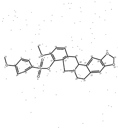 COc1ccc(S(=O)(=O)Oc2c(OC)ccc3c2CN2CCc4cc5c(cc4C2C3)OCO5)cc1